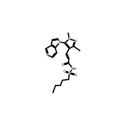 CCCCCS(=O)(=O)NC(=O)/C=C/c1c(C)nn(C)c1-n1ccc2cnccc21